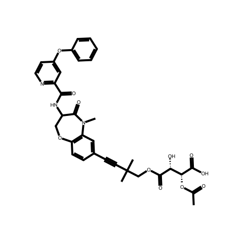 CC(=O)O[C@@H](C(=O)O)[C@@H](O)C(=O)OCC(C)(C)C#Cc1ccc2c(c1)N(C)C(=O)C(NC(=O)c1cc(Oc3ccccc3)ccn1)CO2